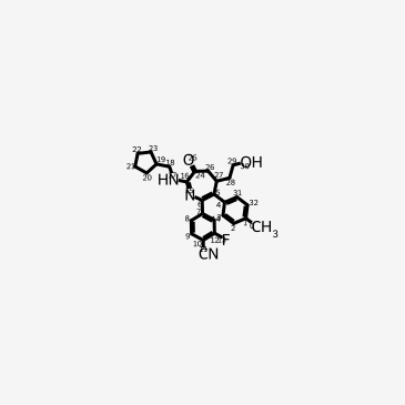 Cc1ccc(C2=C(c3ccc(C#N)c(F)c3)N=C(NCC3CCCC3)C(=O)CC2CCO)cc1